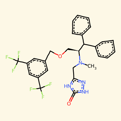 CN(Cc1n[nH]c(=O)[nH]1)[C@@H](COCc1cc(C(F)(F)F)cc(C(F)(F)F)c1)C(c1ccccc1)c1ccccc1